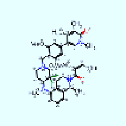 COc1cc(-c2cn(C)c(=O)c(C)c2C)cc(OC)c1CN1CCC(N(C)c2cccc3c2CCN(C(=O)/C(C#N)=C\C(C)(C)C)C3C)C(F)(F)C1